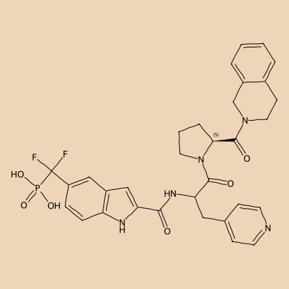 O=C(NC(Cc1ccncc1)C(=O)N1CCC[C@H]1C(=O)N1CCc2ccccc2C1)c1cc2cc(C(F)(F)P(=O)(O)O)ccc2[nH]1